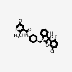 Cc1ncc(Cl)cc1C(=O)N[C@H]1CC[C@H](CN2C(=O)C(O)(c3cc(Cl)ccc3F)c3ccccc32)CC1